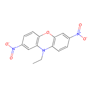 CCN1c2ccc([N+](=O)[O-])cc2Oc2ccc([N+](=O)[O-])cc21